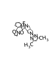 Cc1cc(C)nc(N2C=C3C(CNC3C(=O)c3c(F)cccc3-c3ncco3)C2)n1